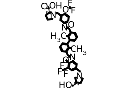 Cc1c(-c2nc3cc(CN4CCC[C@H]4C(=O)O)c(OC(F)F)cc3o2)cccc1-c1cccc(-c2nc3cc(CN4CC[C@@H](CO)C4)cc(C(F)(F)F)c3o2)c1C